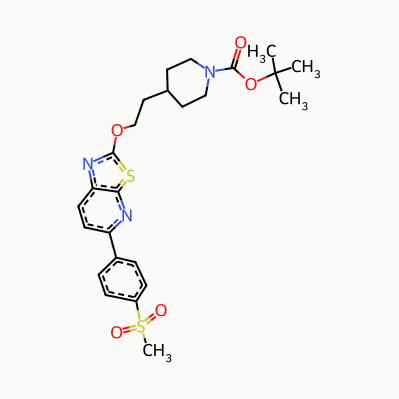 CC(C)(C)OC(=O)N1CCC(CCOc2nc3ccc(-c4ccc(S(C)(=O)=O)cc4)nc3s2)CC1